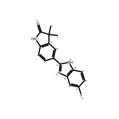 CC1(C)C(=O)Nc2ccc(-c3nc4cc(F)ccc4[nH]3)cc21